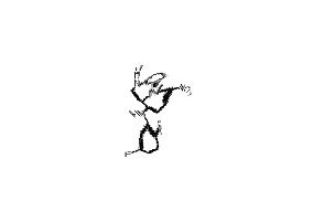 O=[N+]([O-])C1=CC=C(Nc2cc(F)ccc2F)C2=CNON21